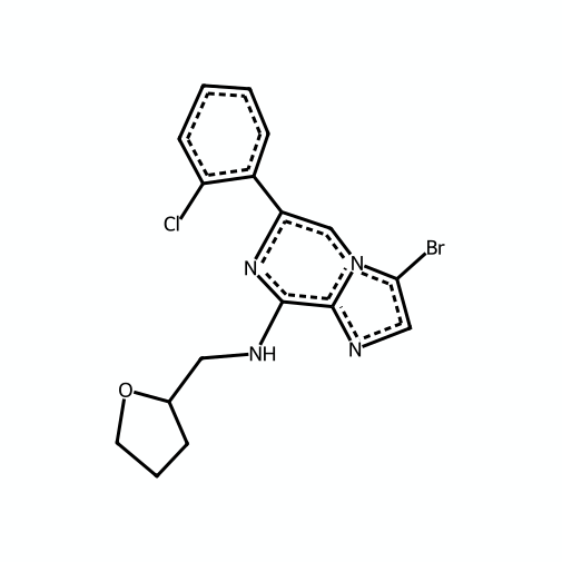 Clc1ccccc1-c1cn2c(Br)cnc2c(NCC2CCCO2)n1